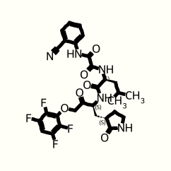 CC(C)C[C@H](NC(=O)C(=O)Nc1ccccc1C#N)C(=O)N[C@@H](C[C@@H]1CCNC1=O)C(=O)COc1c(F)c(F)cc(F)c1F